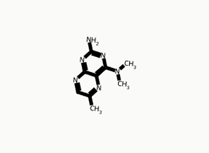 Cc1cnc2nc(N)nc(N(C)C)c2n1